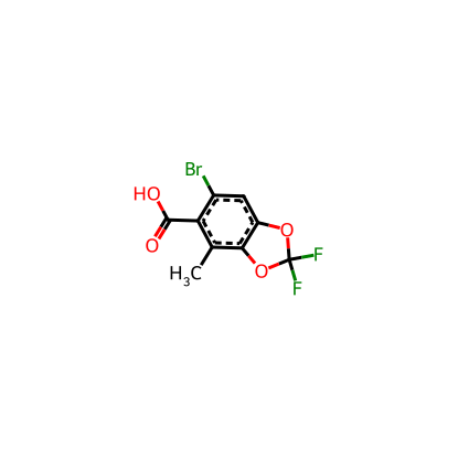 Cc1c2c(cc(Br)c1C(=O)O)OC(F)(F)O2